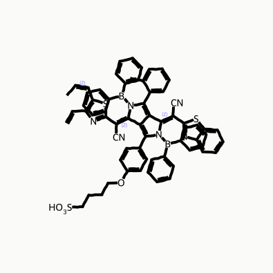 C=Cc1nc(/C(C#N)=c2/c3c(-c4ccc(OCCCCS(=O)(=O)O)cc4)n(B(c4ccccc4)c4ccccc4)/c(=C(/C#N)c4nc5ccccc5s4)c3c(-c3ccccc3C)n2B(c2ccccc2)c2ccccc2)sc1/C=C\C